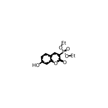 CCOP(=O)(OCC)c1cc2ccc(O)cc2oc1=O